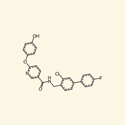 O=C(NCc1ccc(-c2ccc(F)cc2)cc1Cl)c1ccc(Oc2ccc(O)cc2)nc1